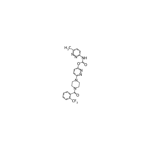 Cc1ccc(NC(=O)Oc2ccc(N3CCN(C(=O)c4ccccc4C(F)(F)F)CC3)nn2)nn1